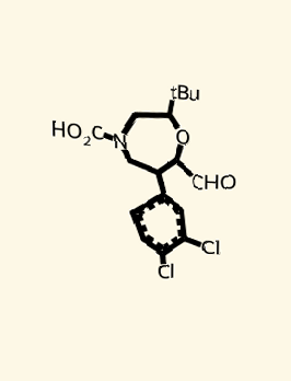 CC(C)(C)C1CN(C(=O)O)CC(c2ccc(Cl)c(Cl)c2)C(C=O)O1